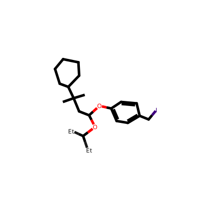 CCC(CC)OC(CC(C)(C)C1CCCCC1)Oc1ccc(CI)cc1